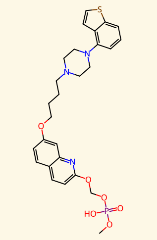 COP(=O)(O)OCOc1ccc2ccc(OCCCCN3CCN(c4cccc5sccc45)CC3)cc2n1